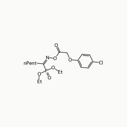 CCCCCC(=NOC(=O)COc1ccc(Cl)cc1)P(=O)(OCC)OCC